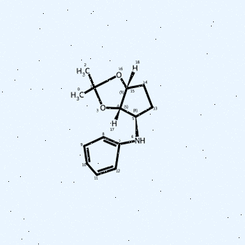 CC1(C)O[C@H]2[C@H](Nc3ccccc3)CC[C@H]2O1